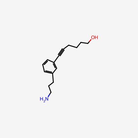 NCCCc1cccc(C#CCCCCO)c1